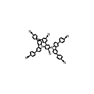 N#Cc1ccc(-c2ccc3c(c2)c2cc(-c4ccc(C#N)cc4)ccc2n3-c2cc(-c3cc(C#N)cc(C#N)c3)c(-n3c4ccc(-c5ccc(C#N)cc5)cc4c4cc(-c5ccc(C#N)cc5)ccc43)cc2C#N)cc1